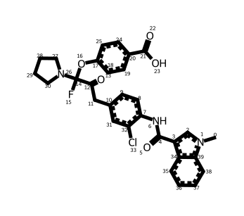 Cn1cc(C(=O)Nc2ccc(CC(=O)C(F)(Oc3ccc(C(=O)O)cc3)N3CCCC3)cc2Cl)c2ccccc21